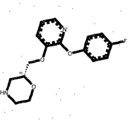 Fc1ccc(Oc2ncccc2OC[C@H]2CNCCO2)cc1